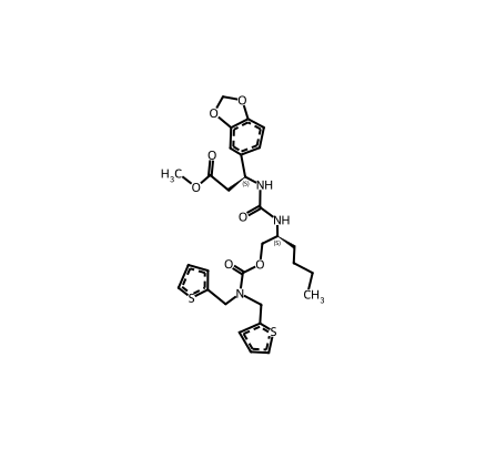 CCCC[C@@H](COC(=O)N(Cc1cccs1)Cc1cccs1)NC(=O)N[C@@H](CC(=O)OC)c1ccc2c(c1)OCO2